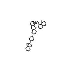 Oc1c(-c2c3ccccc3cc3cc(-c4ccc(-c5nc6ccccc6s5)cc4)ccc23)ccc2cccnc12